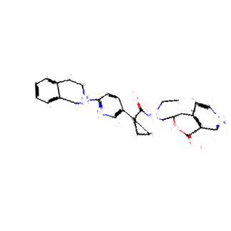 O=C1O[C@]2(CCN(C(=O)C3(c4ccc(N5CCc6ccccc6C5)nc4)CC3)C2)c2ccncc21